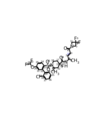 C[C@H](/C=C/C(=O)N1CC(F)(F)C1)NC(=O)[C@]1(F)CCN(S(=O)(=O)c2ccc(OC(F)F)cc2-c2ccccc2Cl)[C@H](C)C1